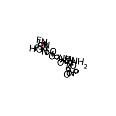 Nc1nc2sc(C(=O)NC3CCC(OC(=O)C4CCN(CC(O)(Cn5cncn5)c5ccc(F)cc5F)CC4)CC3)cc2n(-c2ccc3c(c2)N(c2ccccc2)CCO3)c1=O